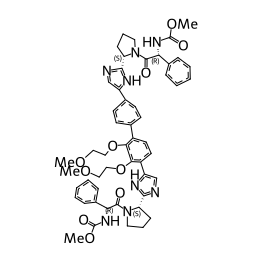 COCCOc1c(-c2ccc(-c3cnc([C@@H]4CCCN4C(=O)[C@H](NC(=O)OC)c4ccccc4)[nH]3)cc2)ccc(-c2cnc([C@@H]3CCCN3C(=O)[C@H](NC(=O)OC)c3ccccc3)[nH]2)c1OCCOC